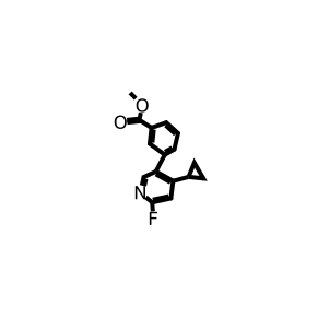 COC(=O)c1cccc(-c2cnc(F)cc2C2CC2)c1